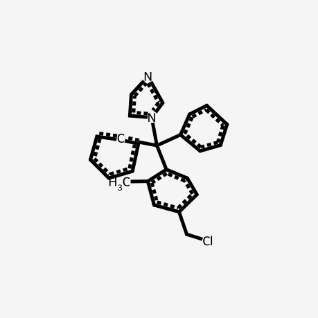 Cc1cc(CCl)ccc1C(c1ccccc1)(c1ccccc1)n1ccnc1